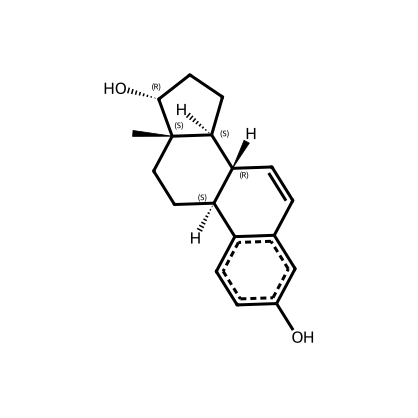 C[C@]12CC[C@@H]3c4ccc(O)cc4C=C[C@H]3[C@@H]1CC[C@H]2O